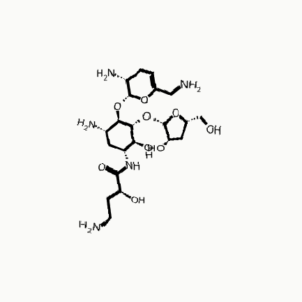 NCC[C@H](O)C(=O)N[C@@H]1C[C@H](N)[C@@H](O[C@H]2OC(CN)=CC[C@H]2N)[C@H](O[C@@H]2O[C@H](CO)C[C@H]2O)[C@H]1O